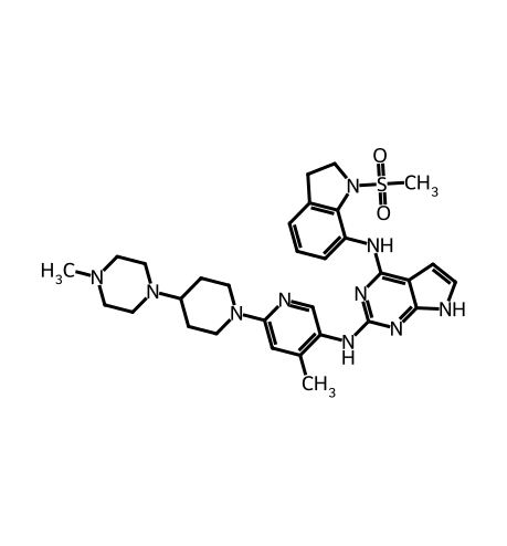 Cc1cc(N2CCC(N3CCN(C)CC3)CC2)ncc1Nc1nc(Nc2cccc3c2N(S(C)(=O)=O)CC3)c2cc[nH]c2n1